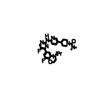 CC(C)N1CCOc2c(F)cc(-c3nc(Nc4ccc(C5CCN(C(=O)N(C)C)CC5)cn4)ncc3F)cc21